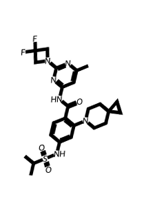 Cc1cc(NC(=O)c2ccc(NS(=O)(=O)C(C)C)cc2N2CCC3(CC2)CC3)nc(N2CC(F)(F)C2)n1